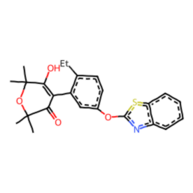 CCc1ccc(Oc2nc3ccccc3s2)cc1C1=C(O)C(C)(C)OC(C)(C)C1=O